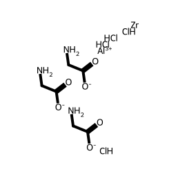 Cl.Cl.Cl.Cl.NCC(=O)[O-].NCC(=O)[O-].NCC(=O)[O-].[Al+3].[Zr]